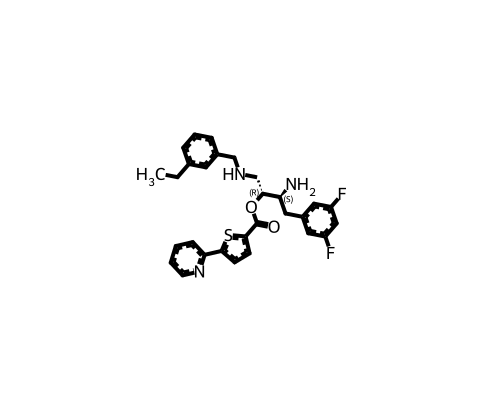 CCc1cccc(CNC[C@@H](OC(=O)c2ccc(-c3ccccn3)s2)[C@@H](N)Cc2cc(F)cc(F)c2)c1